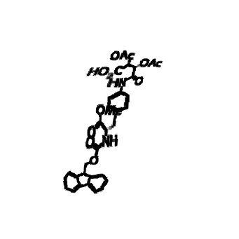 COC(=O)[C@H](Cc1ccc(NC(=O)[C@@H](OC(C)=O)[C@H](OC(C)=O)C(=O)O)cc1)NC(=O)OCC1c2ccccc2-c2ccccc21